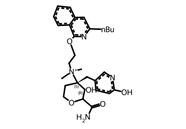 CCCCc1cc2ccccc2c(OCC[N+](C)(C)[C@@]2(Cc3ccc(O)nc3)CCOC(C(N)=O)[C@@H]2O)n1